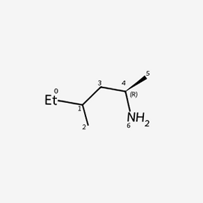 CCC(C)C[C@@H](C)N